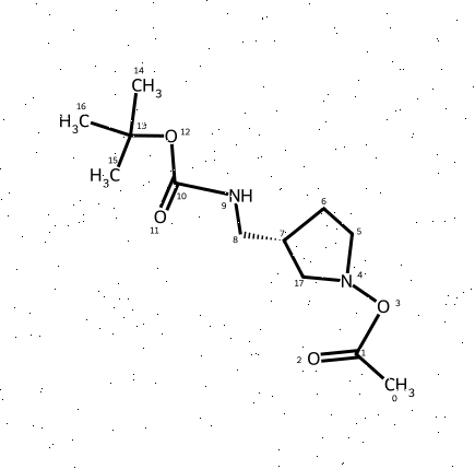 CC(=O)ON1CC[C@@H](CNC(=O)OC(C)(C)C)C1